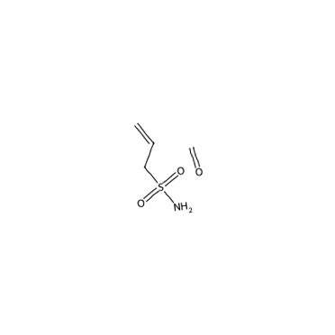 C=CCS(N)(=O)=O.C=O